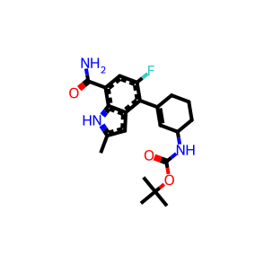 Cc1cc2c(C3=CC(NC(=O)OC(C)(C)C)CCC3)c(F)cc(C(N)=O)c2[nH]1